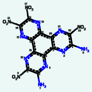 Nc1nc2c3nc(N)c([N+](=O)[O-])nc3c3nc([N+](=O)[O-])c([N+](=O)[O-])nc3c2nc1[N+](=O)[O-]